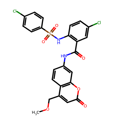 COCc1cc(=O)oc2cc(NC(=O)c3cc(Cl)ccc3NS(=O)(=O)c3ccc(Cl)cc3)ccc12